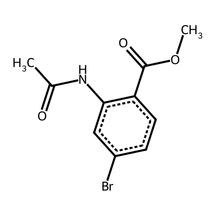 COC(=O)c1ccc(Br)cc1NC(C)=O